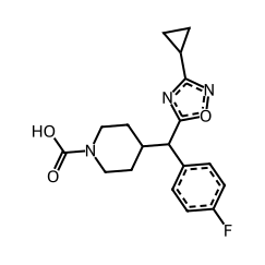 O=C(O)N1CCC(C(c2ccc(F)cc2)c2nc(C3CC3)no2)CC1